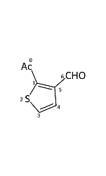 CC(=O)c1sccc1C=O